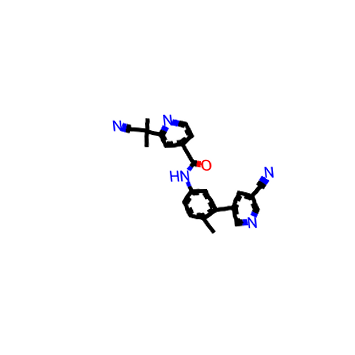 Cc1ccc(NC(=O)c2ccnc(C(C)(C)C#N)c2)cc1-c1cncc(C#N)c1